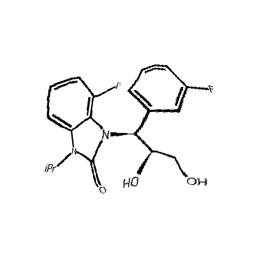 CC(C)n1c(=O)n([C@@H](c2cccc(F)c2)[C@H](O)CO)c2c(F)cccc21